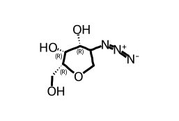 [N-]=[N+]=NC1CO[C@H](CO)[C@H](O)[C@@H]1O